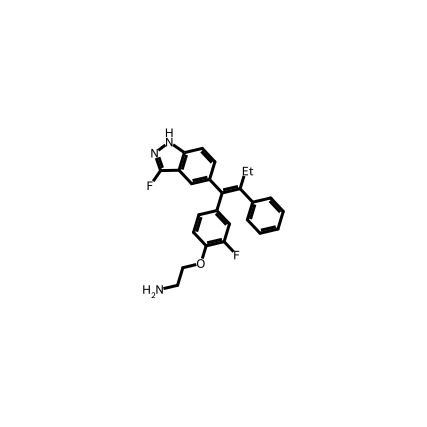 CC/C(=C(/c1ccc(OCCN)c(F)c1)c1ccc2[nH]nc(F)c2c1)c1ccccc1